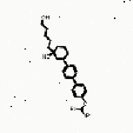 CCCC(CC)Oc1ccc(-c2ccc(C3CCCC(C#N)(CCCCCO)C3)cc2)cc1